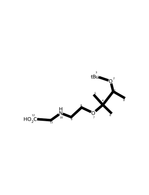 CC(OC(C)(C)C)C(C)(C)OCCNCC(=O)O